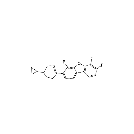 Fc1ccc2c(oc3c(F)c(C4=CCC(C5CC5)CC4)ccc32)c1F